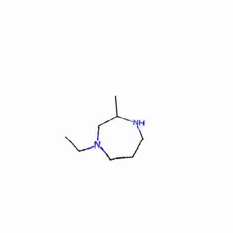 CCN1CCCNC(C)C1